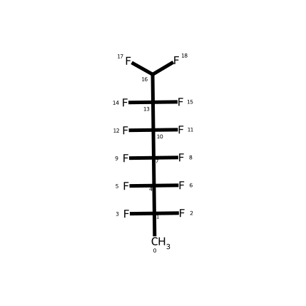 CC(F)(F)C(F)(F)C(F)(F)C(F)(F)C(F)(F)C(F)F